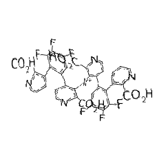 O=C(O)c1ncccc1-c1c(-c2ccnc(C(=O)O)[c]2[Ir+][c]2c(-c3cc(F)c(F)c(F)c3-c3cccnc3C(=O)O)ccnc2C(=O)O)cc(F)c(F)c1F